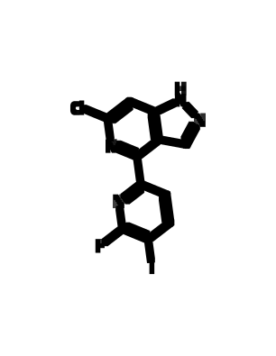 Fc1nc(-c2nc(Cl)cc3[nH]ncc23)ccc1I